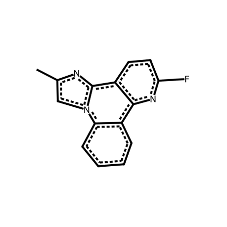 Cc1cn2c3ccccc3c3nc(F)ccc3c2n1